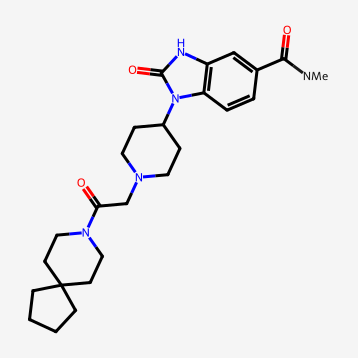 CNC(=O)c1ccc2c(c1)[nH]c(=O)n2C1CCN(CC(=O)N2CCC3(CCCC3)CC2)CC1